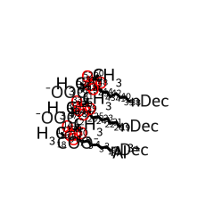 CCCCCCCCCCCCCCCCCC(=O)OC(C)C(=O)OC(C)C(=O)[O-].CCCCCCCCCCCCCCCCCC(=O)OC(C)C(=O)OC(C)C(=O)[O-].CCCCCCCCCCCCCCCCCC(=O)OC(C)C(=O)OC(C)C(=O)[O-].[Al+3]